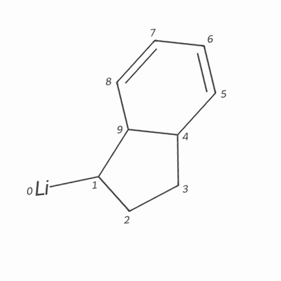 [Li][CH]1CCC2C=CC=CC12